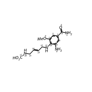 COc1cc(C(N)=O)cc(N)c1NC/C=C/CNC(=O)O